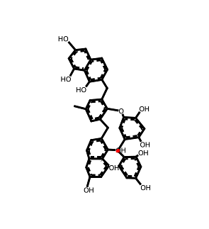 Cc1cc(Cc2ccc3cc(O)cc(O)c3c2O)c(Oc2cc(Cc3ccc(O)cc3O)c(O)cc2O)c(Cc2ccc3cc(O)cc(O)c3c2O)c1